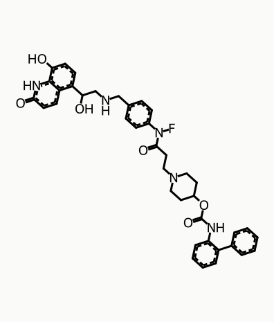 O=C(Nc1ccccc1-c1ccccc1)OC1CCN(CCC(=O)N(F)c2ccc(CNCC(O)c3ccc(O)c4[nH]c(=O)ccc34)cc2)CC1